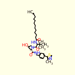 C#CCCCCCCCCCCC(=O)N[C@H](C(=O)N1C[C@H](O)C[C@H]1C(=O)NCc1ccc(-c2scnc2C)cc1)C(C)(C)C